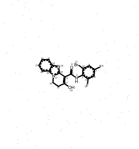 O=C(Nc1c(F)cc(F)cc1Br)C1=C(O)CCn2c1nc1ccccc12